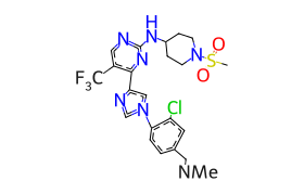 CNCc1ccc(-n2cnc(-c3nc(NC4CCN(S(C)(=O)=O)CC4)ncc3C(F)(F)F)c2)c(Cl)c1